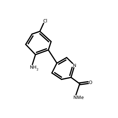 CNC(=O)c1ccc(-c2cc(Cl)ccc2N)cn1